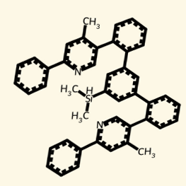 Cc1cc(-c2ccccc2)ncc1-c1ccccc1-c1cc(-c2ccccc2-c2cnc(-c3ccccc3)cc2C)cc([SiH](C)C)c1